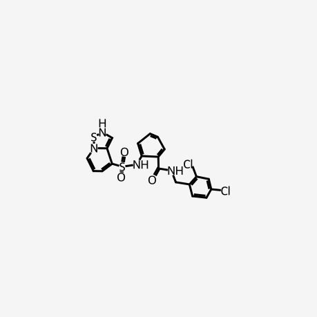 O=C(NCc1ccc(Cl)cc1Cl)c1ccccc1NS(=O)(=O)C1=CC=CN2SNC=C12